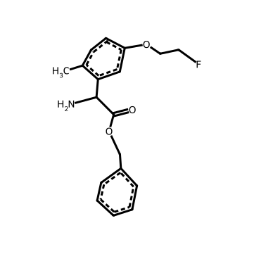 Cc1ccc(OCCF)cc1C(N)C(=O)OCc1ccccc1